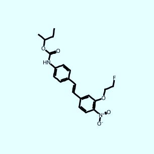 CCC(C)OC(=O)Nc1ccc(/C=C/c2ccc([N+](=O)[O-])c(OCCF)c2)cc1